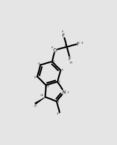 CC1=Nc2cc(OC(F)(F)F)ccc2[C@@H]1C